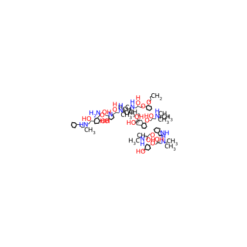 C=CCOc1ccccc1OCC(O)CNC(C)C.CC(C)(C)NCC(O)COc1cccc2c1C[C@H](O)[C@H](O)C2.CC(C)(C)NCC(O)c1ccc(O)c(CO)n1.CC(C)NCC(O)COc1cccc2[nH]ccc12.CC(C)NC[C@H](O)COc1ccc(O)cc1.CC(CCc1ccccc1)NCC(O)c1ccc(O)c(C(N)=O)c1